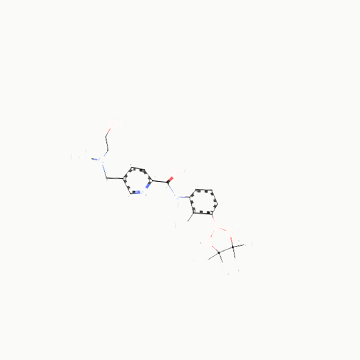 Cc1c(NC(=O)c2ccc(CN(CCO)C(=O)O)cn2)cccc1B1OC(C)(C)C(C)(C)O1